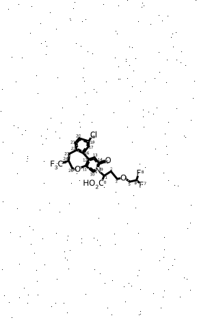 O=C(O)C(CCOCC(F)F)n1cc2c(cc1=O)-c1cc(Cl)ccc1CC(C(F)(F)F)CO2